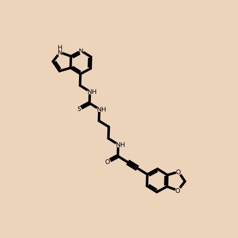 O=C(C#Cc1ccc2c(c1)OCO2)NCCCNC(=S)NCc1ccnc2[nH]ccc12